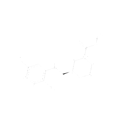 CC(C)(C)OC(=O)N1CCO[C@@H](CNc2cc(Cl)ncc2I)C1